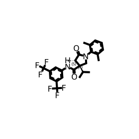 Cc1cccc(C)c1N1C[C@@](C(=O)Nc2cc(C(F)(F)F)cc(C(F)(F)F)c2)(C(C)C)[C@H](C)C1=O